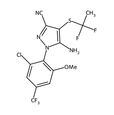 COc1cc(C(F)(F)F)cc(Cl)c1-n1nc(C#N)c(SC(C)(F)F)c1N